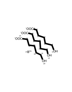 O=C([O-])CCCCCO.O=C([O-])CCCCCO.O=C([O-])CCCCCO.[B+3]